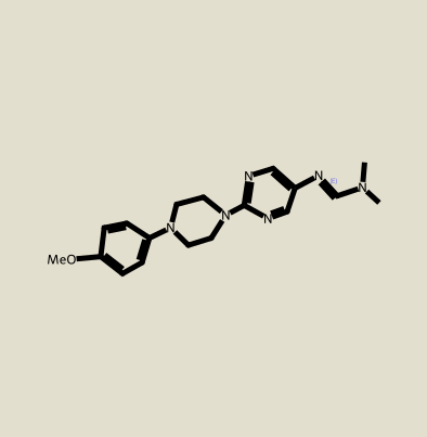 COc1ccc(N2CCN(c3ncc(/N=C/N(C)C)cn3)CC2)cc1